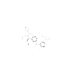 COCC1CCC(C)N1c1ncc(Cl)c(Nc2ccc(N(C)CC3CC(F)(F)C3)c(C3=C(C=O)OCCCN3)c2)n1